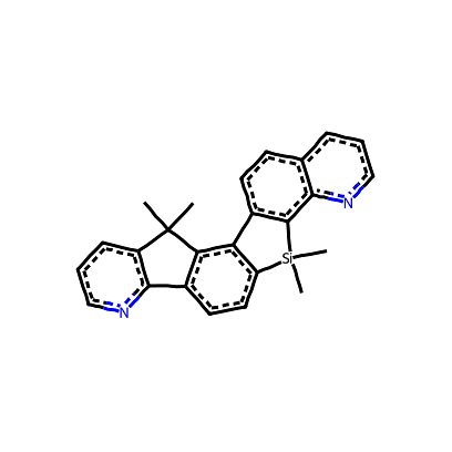 CC1(C)c2cccnc2-c2ccc3c(c21)-c1ccc2cccnc2c1[Si]3(C)C